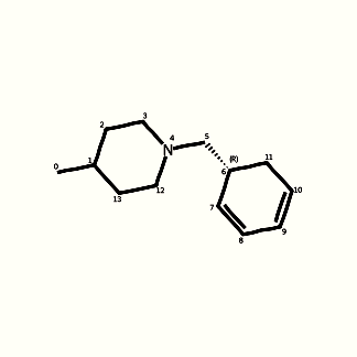 CC1CCN(C[C@H]2C=CC=CC2)CC1